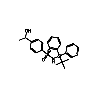 CC(O)c1ccc(S(=O)(=O)N[Si](c2ccccc2)(c2ccccc2)C(C)(C)C)cc1